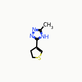 Cc1nnc(C2=CSCC2)[nH]1